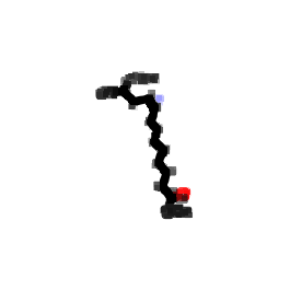 CCCCCCC(C/C=C\CCCCCCCC(=O)OC)N=O